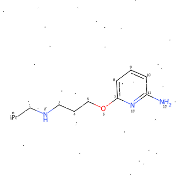 CC(C)CNCCCOc1cccc(N)n1